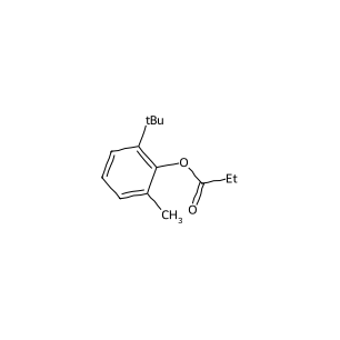 CCC(=O)Oc1c(C)cccc1C(C)(C)C